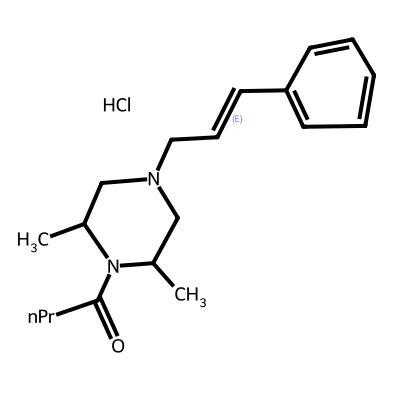 CCCC(=O)N1C(C)CN(C/C=C/c2ccccc2)CC1C.Cl